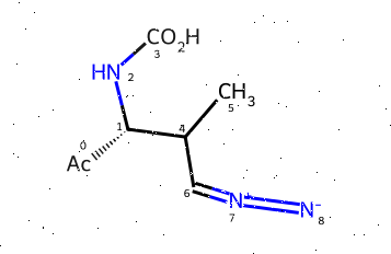 CC(=O)[C@H](NC(=O)O)C(C)C=[N+]=[N-]